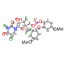 COc1ccc(OP(=S)(OC[C@@]2(C(F)F)O[C@@H](n3cc(Cl)c(=O)n(F)c3=O)[C@H](O)[C@@H]2F)Oc2ccc(OC)cc2)cc1